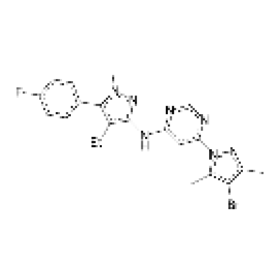 CCc1c(Nc2cc(-n3nc(C)c(Br)c3C)ncn2)nn(C)c1-c1ccc(F)cc1